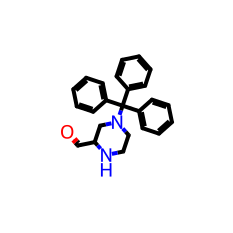 O=CC1CN(C(c2ccccc2)(c2ccccc2)c2ccccc2)CCN1